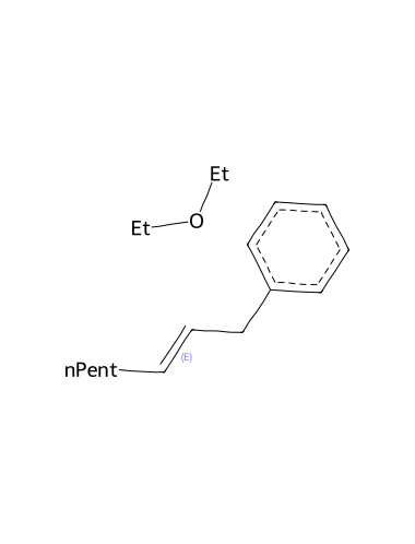 CCCCC/C=C/Cc1ccccc1.CCOCC